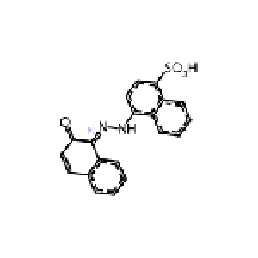 O=C1C=Cc2ccccc2/C1=N\Nc1ccc(S(=O)(=O)O)c2ccccc12